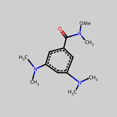 CON(C)C(=O)c1cc(N(C)C)cc(N(C)C)c1